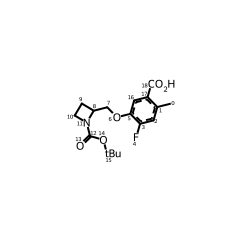 Cc1cc(F)c(OCC2CCN2C(=O)OC(C)(C)C)cc1C(=O)O